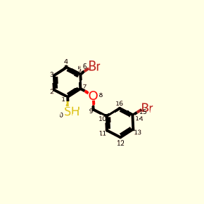 Sc1cccc(Br)c1OCc1cccc(Br)c1